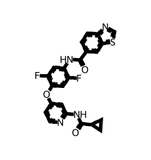 O=C(Nc1cc(F)c(Oc2ccnc(NC(=O)C3CC3)c2)cc1F)c1ccc2ncsc2c1